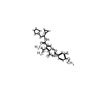 COc1ccc(-c2nn3cc(C(=O)NC(CN4CCCC4)C4CC4)c(C(C)C)c3c(=O)[nH]2)cc1F